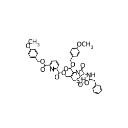 COc1ccc(COC(=O)C2=C(COC(=O)c3cccc(C(=O)OCc4ccc(OC)cc4)n3)C[S+]([O-])[C@@H]3[C@H](NC(=O)Cc4ccccc4)C(=O)N23)cc1